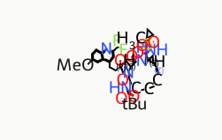 COc1ccc2nc(C(F)F)c3c(c2c1)CC[C@]1(C[C@H]2C(=O)N[C@]4(C(=O)NS(=O)(=O)C5(C)CC5)C[C@H]4/C=C\CCCCCC(NC(=O)OC(C)(C)C)C(=O)N2C1)O3